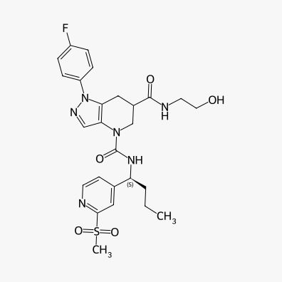 CCC[C@H](NC(=O)N1CC(C(=O)NCCO)Cc2c1cnn2-c1ccc(F)cc1)c1ccnc(S(C)(=O)=O)c1